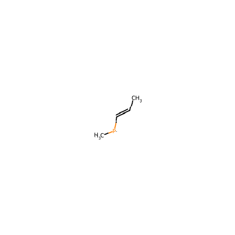 CC=C[P]C